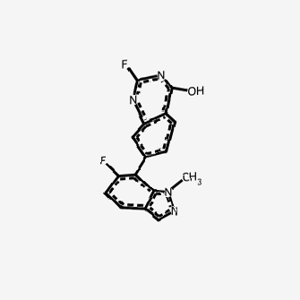 Cn1ncc2ccc(F)c(-c3ccc4c(O)nc(F)nc4c3)c21